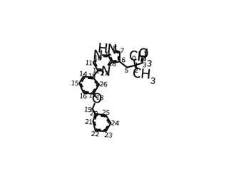 CC(C)(C=O)Cc1c[nH]c2ncc(-c3cccc(OCc4ccccc4)c3)nc12